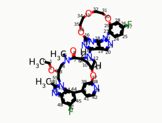 CCO[C@H]1CN(C)C(=O)[C@@H]2C[C@@H](CN2c2nc3nc4c2cnn4-c2ccc(F)cc2OCCOCCO3)Oc2cc(ccn2)-c2cc(F)cc3nc(C)n(c23)C1